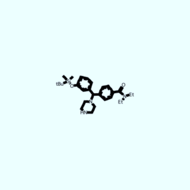 CCN(CC)C(=O)c1ccc(C(c2cccc(O[Si](C)(C)C(C)(C)C)c2)N2CCNCC2)cc1